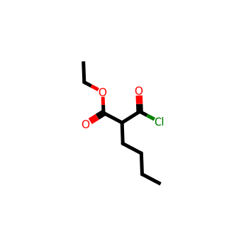 CCCCC(C(=O)Cl)C(=O)OCC